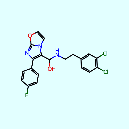 OC(NCCc1ccc(Cl)c(Cl)c1)c1c(-c2ccc(F)cc2)nc2occn12